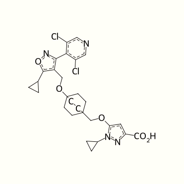 O=C(O)c1cc(OCC23CCC(OCc4c(-c5c(Cl)cncc5Cl)noc4C4CC4)(CC2)CC3)n(C2CC2)n1